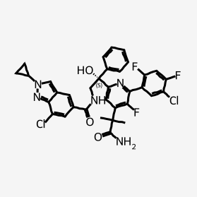 CC(C)(C(N)=O)c1cc([C@@](O)(CNC(=O)c2cc(Cl)c3nn(C4CC4)cc3c2)c2ccccc2)nc(-c2cc(Cl)c(F)cc2F)c1F